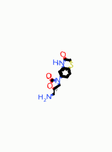 NC[C@@H]1CN(c2ccc3c(c2)NC(=O)CS3)C(=O)O1